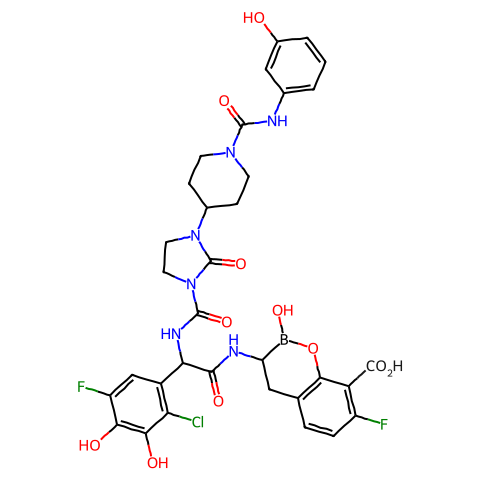 O=C(O)c1c(F)ccc2c1OB(O)C(NC(=O)C(NC(=O)N1CCN(C3CCN(C(=O)Nc4cccc(O)c4)CC3)C1=O)c1cc(F)c(O)c(O)c1Cl)C2